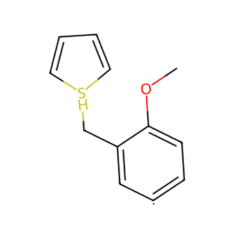 COc1cc[c]cc1C[SH]1C=CC=C1